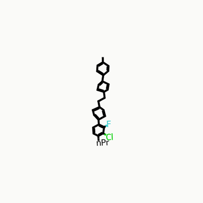 CCCc1ccc(-c2ccc(CCc3ccc(-c4ccc(C)cc4)cc3)cc2)c(F)c1Cl